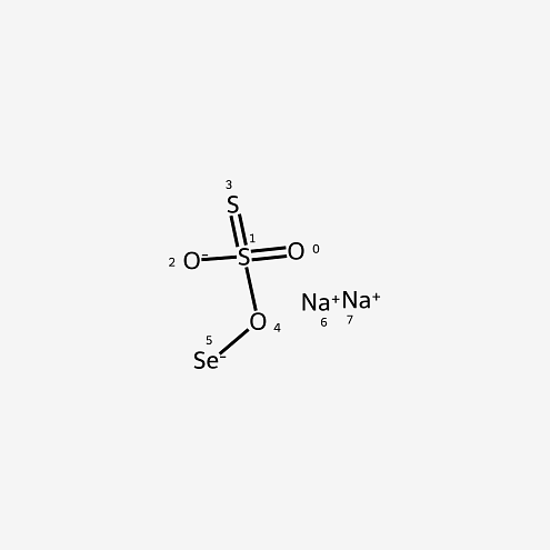 O=S([O-])(=S)O[Se-].[Na+].[Na+]